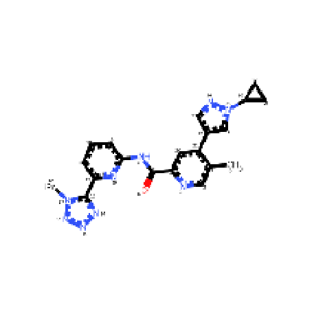 Cc1cnc(C(=O)Nc2cccc(-c3nnnn3C(C)C)n2)cc1-c1cnn(C2CC2)c1